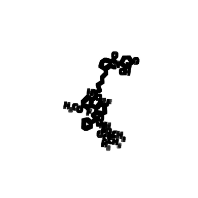 COc1ccc(C(=O)NCCCCCc2cccc3c2CN(C2CCC(=O)NC2=O)C3=O)c(-c2c(Cl)c(F)cc3c2C[C@@](CNC(=O)OC(C)(C)C)(c2ccccc2)O3)c1F